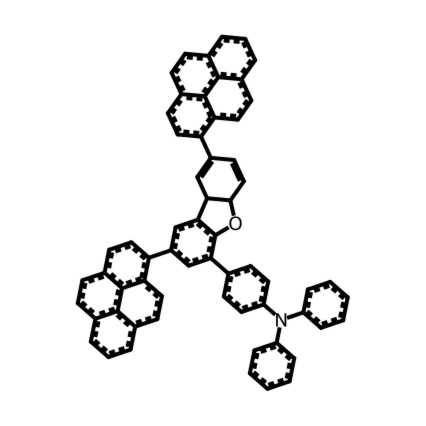 C1=CC2Oc3c(-c4ccc(N(c5ccccc5)c5ccccc5)cc4)cc(-c4ccc5ccc6cccc7ccc4c5c67)cc3C2C=C1c1ccc2ccc3cccc4ccc1c2c34